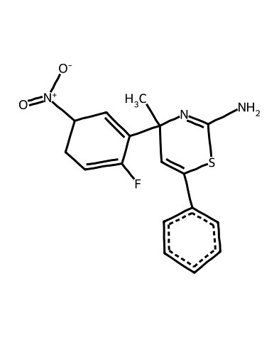 CC1(C2=CC([N+](=O)[O-])CC=C2F)C=C(c2ccccc2)SC(N)=N1